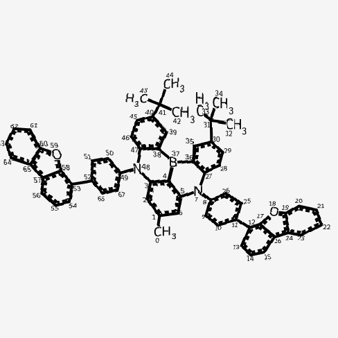 Cc1cc2c3c(c1)N(c1ccc(-c4cccc5c4oc4ccccc45)cc1)c1ccc(C(C)(C)C)cc1B3c1cc(C(C)(C)C)ccc1N2c1ccc(-c2cccc3c2oc2ccccc23)cc1